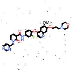 COc1cc2c(Oc3ccc(NC(=O)c4cccn(Cc5ccncn5)c4=O)cc3F)ccnc2cc1OCCCN1CCOCC1